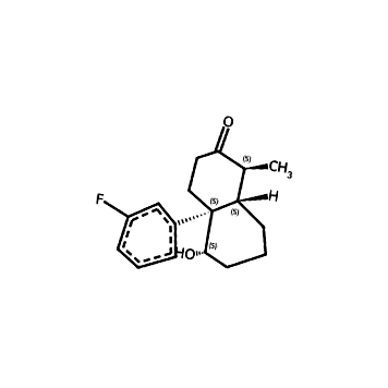 C[C@@H]1C(=O)CC[C@]2(c3cccc(F)c3)[C@@H](O)CCC[C@@H]12